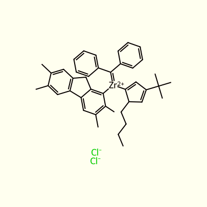 CCCCC1C=C(C(C)(C)C)C=[C]1[Zr+2](=[C](c1ccccc1)c1ccccc1)[c]1c(C)c(C)cc2c1Cc1cc(C)c(C)cc1-2.[Cl-].[Cl-]